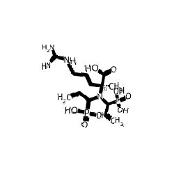 C=CC(N(C(C=C)P(=O)(O)O)[C@@](C)(CCCNC(=N)N)C(=O)O)P(=O)(O)O